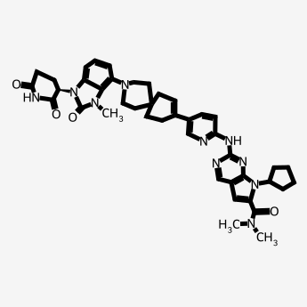 CN(C)C(=O)c1cc2cnc(Nc3ccc(C4=CCC5(CC4)CCN(c4cccc6c4n(C)c(=O)n6[C@@H]4CCC(=O)NC4=O)CC5)cn3)nc2n1C1CCCC1